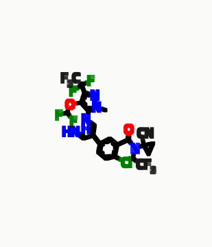 Cn1nc(C(F)(F)C(F)(F)F)c(OC(F)F)c1N/C=C(\C=N)c1ccc(Cl)c(C(=O)N(CC(F)(F)F)C2(C#N)CC2)c1